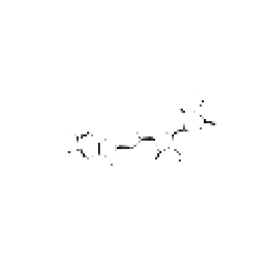 CCC(/C=C1\Sc2cc(C)c(C)cc2N1CC)=c1\s/c(=C2/SC(=S)N(CC(=O)O)C2=O)n(CC(=O)O)c1=O